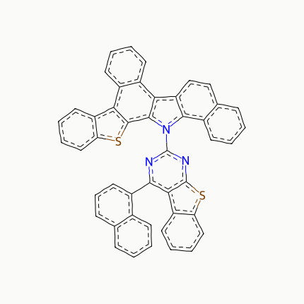 c1ccc2c(-c3nc(-n4c5c6ccccc6ccc5c5c6ccccc6c6c7ccccc7sc6c54)nc4sc5ccccc5c34)cccc2c1